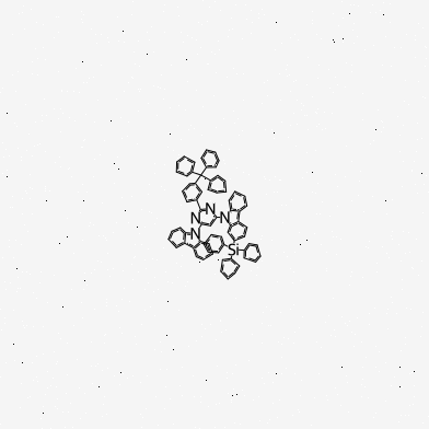 c1ccc(C(c2ccccc2)(c2ccccc2)c2cccc(-c3nc(-n4c5ccccc5c5ccccc54)cc(-n4c5ccccc5c5ccc([Si](c6ccccc6)(c6ccccc6)c6ccccc6)cc54)n3)c2)cc1